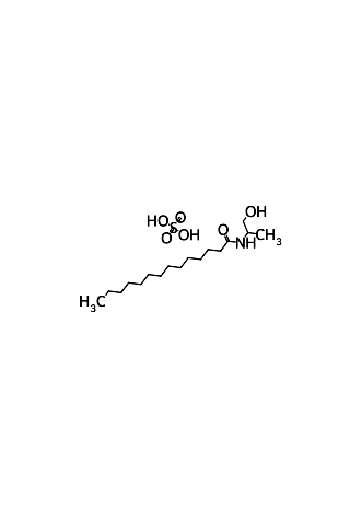 CCCCCCCCCCCCCC(=O)NC(C)CO.O=S(=O)(O)O